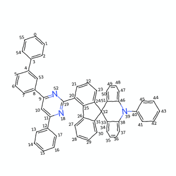 c1ccc(-c2cccc(-c3cc(-c4ccccc4)nc(-c4cccc5c4-c4ccccc4C54c5ccccc5N(c5ccccc5)c5ccccc54)n3)c2)cc1